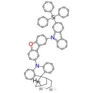 C[C@H]1CC2C[C@@]3(C1)C[C@H]3C21c2ccccc2N(c2ccc3oc4ccc(-n5c6ccccc6c6ccc([Si](c7ccccc7)(c7ccccc7)c7ccccc7)cc65)cc4c3c2)c2ccccc21